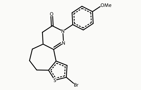 COc1ccc(N2N=C3c4cc(Br)sc4CCCC3CC2=O)cc1